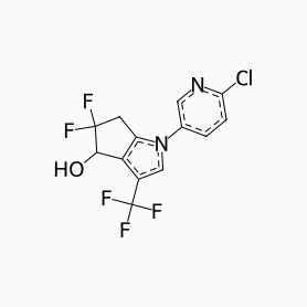 OC1c2c(C(F)(F)F)cn(-c3ccc(Cl)nc3)c2CC1(F)F